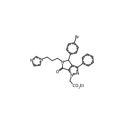 CCOC(=O)Cn1nc(-c2ccccc2)c2c1C(=O)N(CCCn1ccnc1)C2c1ccc(Br)cc1